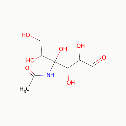 CC(=O)NC(O)(C(O)CO)C(O)C(O)C=O